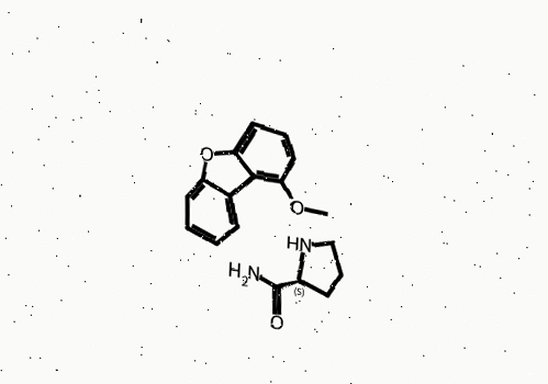 COc1cccc2oc3ccccc3c12.NC(=O)[C@@H]1CCCN1